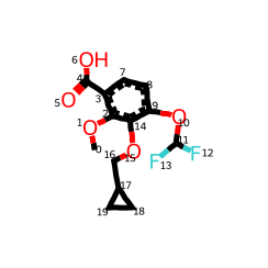 COc1c(C(=O)O)ccc(OC(F)F)c1OCC1CC1